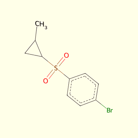 CC1CC1S(=O)(=O)c1ccc(Br)cc1